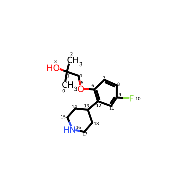 CC(C)(O)COc1ccc(F)cc1C1CCNCC1